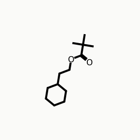 CC(C)(C)C(=O)OCCC1CCCCC1